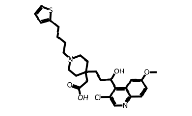 COc1ccc2ncc(Cl)c(C(O)CCC3(CC(=O)O)CCN(CCCCc4cccs4)CC3)c2c1